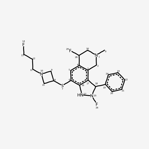 CN1Cc2c(cc(SC3CN(CCCF)C3)c3c2C(c2ccccc2)N(F)N3)C(F)C1